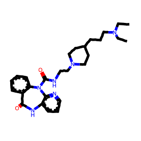 CCN(CC)CCCC1CCN(CCNC(=O)N2c3ccccc3C(=O)Nc3cccnc32)CC1